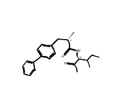 CCC(C)[C@H](NC(=O)[C@@H](C)Cc1ccc(-c2ccccc2)cc1)C(C)=O